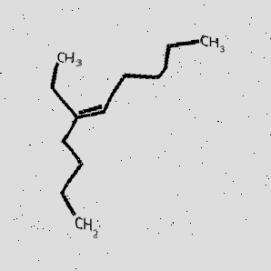 [CH2]CCCC(=CCCCC)CC